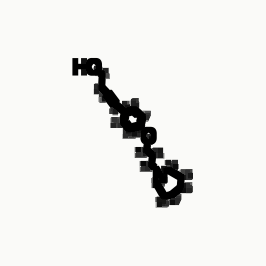 OCCC#Cc1ccc(OCCCN2CCCCCC2)cc1